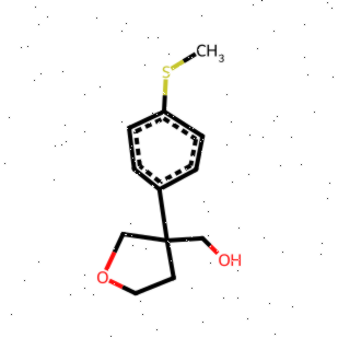 CSc1ccc(C2(CO)CCOC2)cc1